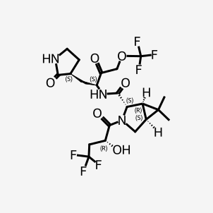 CC1(C)[C@@H]2[C@@H](C(=O)N[C@@H](C[C@@H]3CCNC3=O)C(=O)COC(F)(F)F)N(C(=O)[C@H](O)CC(F)(F)F)C[C@@H]21